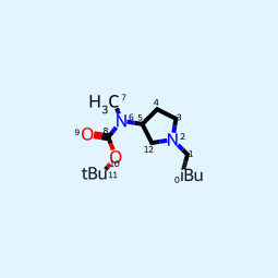 CCC(C)CN1CCC(N(C)C(=O)OC(C)(C)C)C1